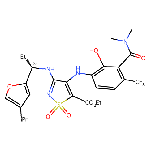 CCOC(=O)C1=C(Nc2ccc(C(F)(F)F)c(C(=O)N(C)C)c2O)C(N[C@H](CC)c2cc(C(C)C)co2)=NS1(=O)=O